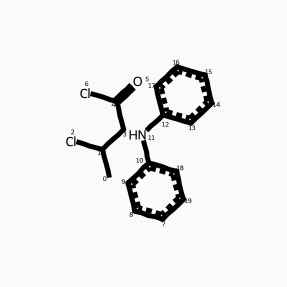 CC(Cl)CC(=O)Cl.c1ccc(Nc2ccccc2)cc1